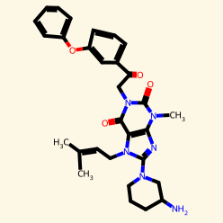 CC(C)=CCn1c(N2CCCC(N)C2)nc2c1c(=O)n(CC(=O)c1cccc(Oc3ccccc3)c1)c(=O)n2C